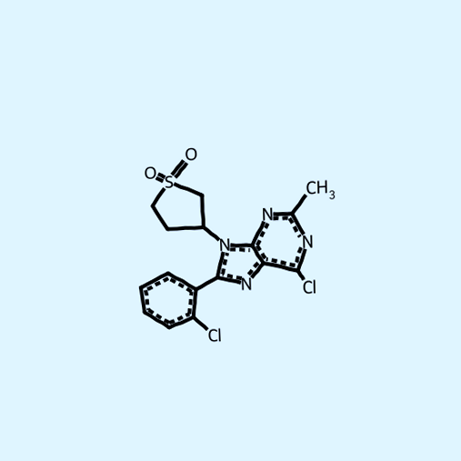 Cc1nc(Cl)c2nc(-c3ccccc3Cl)n(C3CCS(=O)(=O)C3)c2n1